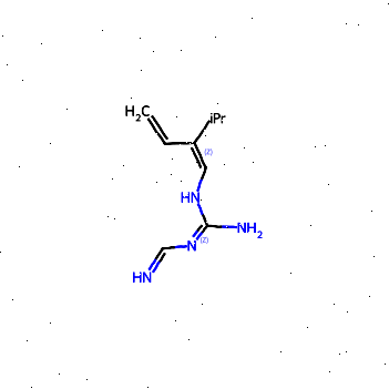 C=C/C(=C\N/C(N)=N\C=N)C(C)C